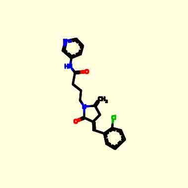 C=C1C/C(=C\c2ccccc2Cl)C(=O)N1CCCC(=O)Nc1cccnc1